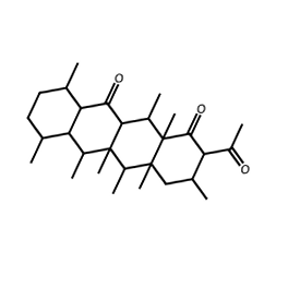 CC(=O)C1C(=O)C2(C)C(C)C3C(=O)C4C(C)CCC(C)C4C(C)C3(C)C(C)C2(C)CC1C